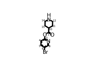 O=C(Oc1ccc(Br)cn1)C1CCNCC1